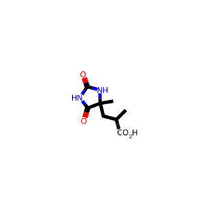 CC(CC1(C)NC(=O)NC1=O)C(=O)O